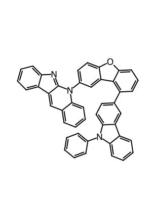 c1ccc(-n2c3ccccc3c3cc(-c4cccc5oc6ccc(-n7c8nc9ccccc9c-8cc8ccccc87)cc6c45)ccc32)cc1